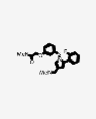 CNCc1cc(-c2ccccc2F)n(Sc2cccc(OCC(=O)NC)c2)c1